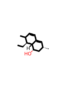 CC[C@H]1C(C)C=CC2=C[C@H](C)C[C@H](O)[C@@H]21